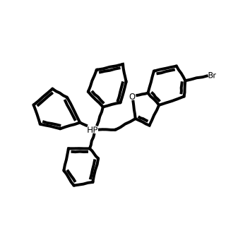 Brc1ccc2oc(C[PH](c3ccccc3)(c3ccccc3)c3ccccc3)cc2c1